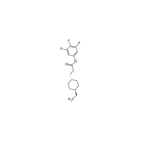 CC[C@H]1CC[C@H](CCC(=O)Oc2cc(F)c(F)c(F)c2)CC1